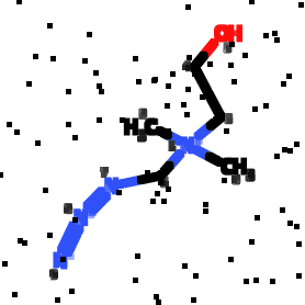 C[N+](C)(CCO)CN=[N+]=[N-]